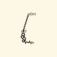 CCCCCCCC/C=C/CCCCCCCCCCCC(=O)OC1CCC2(C)C(=CCC3C2CCC2(C)C(C(C)CCC(C)C(C)C)CCC32)C1